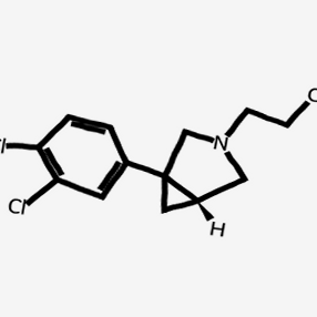 CCCN1C[C@@H]2CC2(c2ccc(Cl)c(Cl)c2)C1